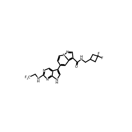 O=C(NCC1CC(F)(F)C1)c1cnn2ccc(-c3c[nH]c4nc(NCC(F)(F)F)ncc34)cc12